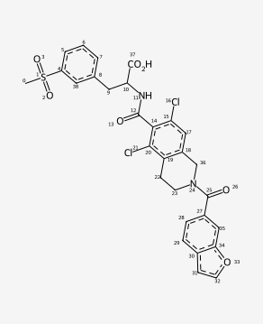 CS(=O)(=O)c1cccc(CC(NC(=O)c2c(Cl)cc3c(c2Cl)CCN(C(=O)c2ccc4ccoc4c2)C3)C(=O)O)c1